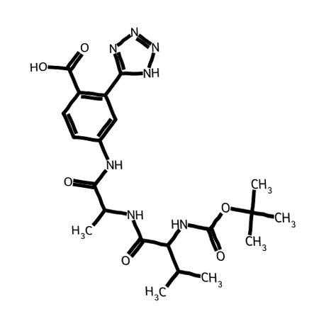 CC(NC(=O)C(NC(=O)OC(C)(C)C)C(C)C)C(=O)Nc1ccc(C(=O)O)c(-c2nnn[nH]2)c1